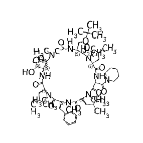 CC(C)C[C@H]1C(=O)N(C)[C@@H](Cc2ccccc2)C(=O)N(C)[C@@H](CC(C)C)C(=O)N[C@@H]([C@@H](C)O)C(=O)N(C)CC(=O)N[C@@H](COC(C)(C)C)C(=O)N(C)[C@@H](CC(C)C)C(=O)NC(C(=O)N2CCCCC2)C(=O)N1C